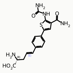 NC(=O)Nc1sc(-c2ccc(/C=C/C[C@@H](N)C(=O)O)cc2)cc1C(N)=O